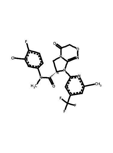 Cc1cc(C(F)(F)F)cc(N2C3=NOCC(=O)N3C[C@H]2C(=O)N(C)c2ccc(F)c(Cl)c2)n1